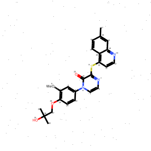 COc1cc(-n2ccnc(Sc3ccnc4cc(C)ccc34)c2=O)ccc1OCC(C)(C)O